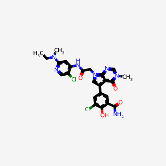 CCN(C)c1cc(NC(=O)Cn2cc(-c3cc(Cl)c(O)c(C(N)=O)c3)c3c(=O)n(C)cnc32)c(Cl)cn1